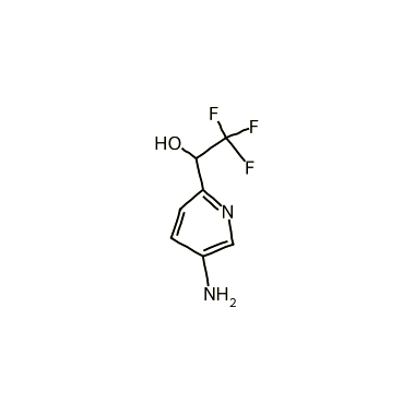 Nc1ccc(C(O)C(F)(F)F)nc1